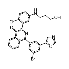 O=c1c2ccccc2c(-c2cc(Br)cc(-c3cnco3)c2)nn1-c1cc(NCCCO)ccc1Cl